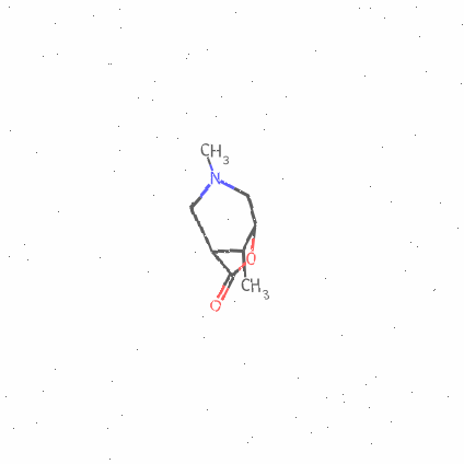 CC1C2CN(C)CC1C(=O)O2